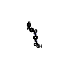 CN1CCC(N(C)c2ccc(C(=O)/C=C/c3ccc(/C=C/C(=O)CO)cc3)cc2)CC1